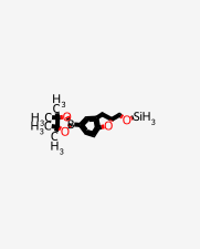 CC1(C)OB(c2ccc3c(c2)CC(CO[SiH3])O3)OC1(C)C